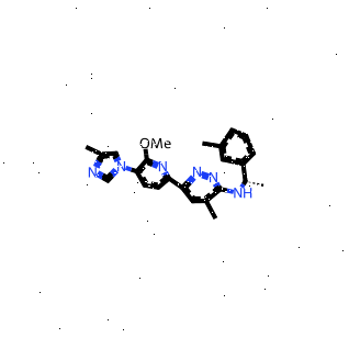 COc1nc(-c2cc(C)c(N[C@@H](C)c3cccc(C)c3)nn2)ccc1-n1cnc(C)c1